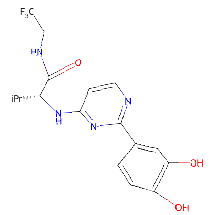 CC(C)[C@@H](Nc1ccnc(-c2ccc(O)c(O)c2)n1)C(=O)NCC(F)(F)F